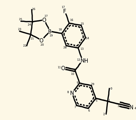 CC(C)(C#N)c1ccnc(C(=O)Nc2ccc(F)c(B3OC(C)(C)C(C)(C)O3)c2)c1